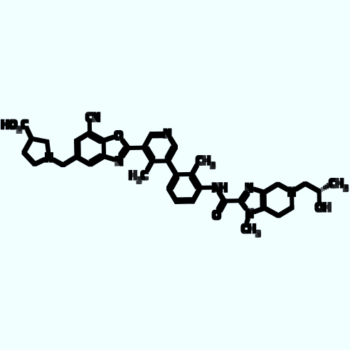 Cc1c(NC(=O)c2nc3c(n2C)CCN(C[C@H](C)O)C3)cccc1-c1cncc(-c2nc3cc(CN4CCC(C(=O)O)C4)cc(C#N)c3o2)c1C